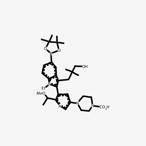 CCn1c(-c2cc(N3CCN(C(=O)O)CC3)cnc2C(C)OC)c(CC(C)(C)CO)c2cc(B3OC(C)(C)C(C)(C)O3)ccc21